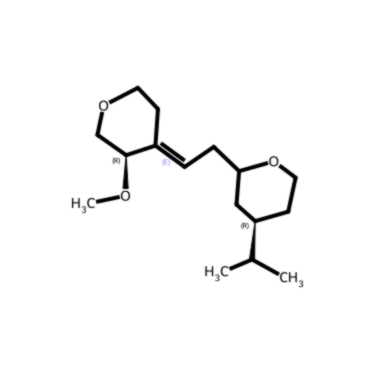 CO[C@H]1COCC/C1=C\CC1C[C@H](C(C)C)CCO1